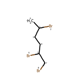 [CH2]C(Br)CCC(Br)[CH]Br